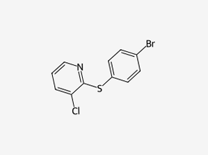 Clc1cccnc1Sc1ccc(Br)cc1